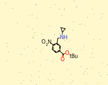 CC(C)(C)OC(=O)c1ccc([N+](=O)[O-])c(CNC2CC2)c1